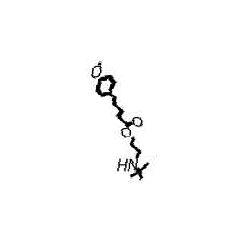 COc1ccc(/C=C/C=C/C(=O)OCCCNC(C)(C)C)cc1